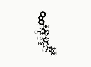 O=P(O)(O)CP(=O)(O)NCC1OC(n2cnc3c(Nc4ccc5c(c4)-c4ccccc4C5)nc(Cl)nc32)C(O)C1O